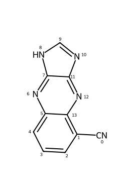 N#Cc1cccc2nc3[nH]cnc3nc12